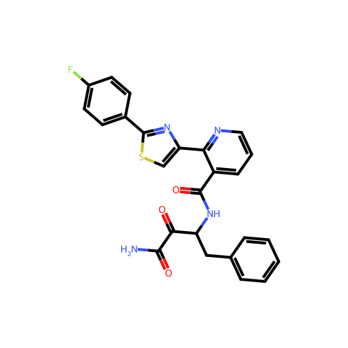 NC(=O)C(=O)C(Cc1ccccc1)NC(=O)c1cccnc1-c1csc(-c2ccc(F)cc2)n1